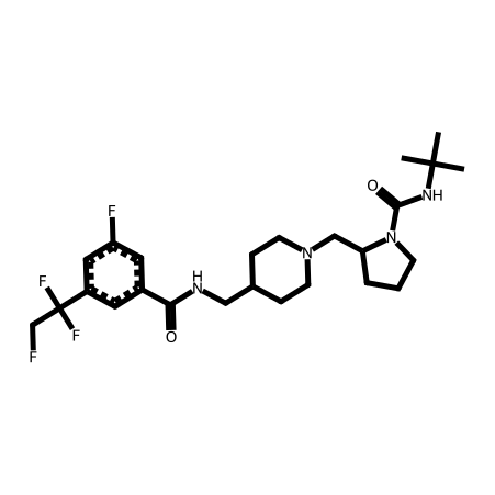 CC(C)(C)NC(=O)N1CCCC1CN1CCC(CNC(=O)c2cc(F)cc(C(F)(F)CF)c2)CC1